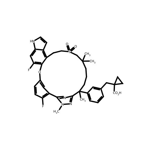 Cn1nc2nc1-c1cc(ccc1F)Oc1c(F)cc3[nH]ccc3c1CCS(=O)(=O)CC(C)(C)CCCC2(C)c1cccc(CC2(C(=O)O)CC2)c1